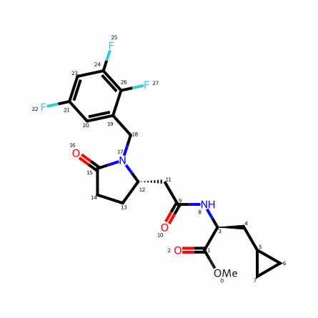 COC(=O)[C@H](CC1CC1)NC(=O)C[C@@H]1CCC(=O)N1Cc1cc(F)cc(F)c1F